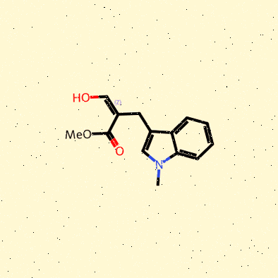 COC(=O)/C(=C\O)Cc1cn(C)c2ccccc12